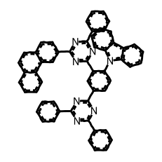 c1ccc(-c2nc(-c3ccccc3)nc(-c3ccc(-n4c5ccccc5c5ccccc54)c(-c4nc(-c5ccccc5)nc(-c5ccc6ccc7ccccc7c6c5)n4)c3)n2)cc1